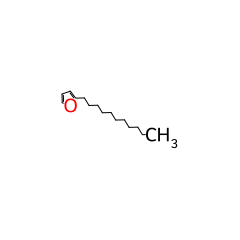 CCCCCCCCCCCc1ccco1